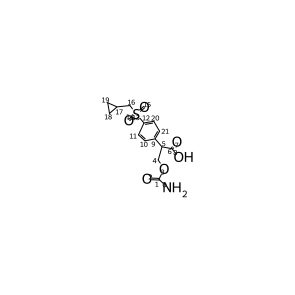 NC(=O)OCC(C(=O)O)c1ccc(S(=O)(=O)CC2CC2)cc1